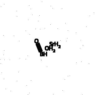 B=O.O.[SrH2]